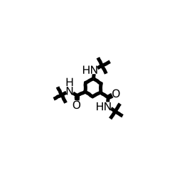 CC(C)(C)NC(=O)C1CC(NC(C)(C)C)CC(C(=O)NC(C)(C)C)C1